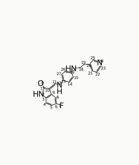 O=C1Nc2ccc(F)cc2/C1=C\Nc1ccc(NCCc2cccnc2)cc1